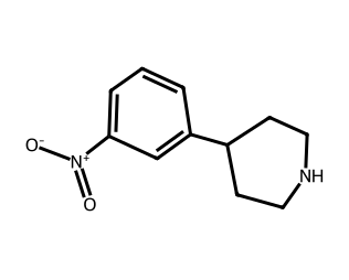 O=[N+]([O-])c1cccc(C2CCNCC2)c1